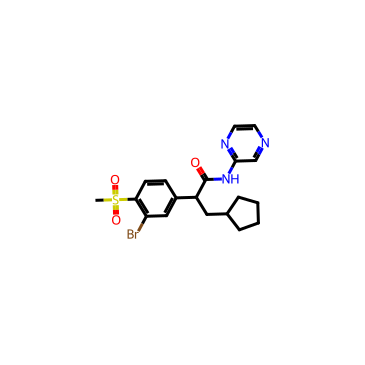 CS(=O)(=O)c1ccc(C(CC2CCCC2)C(=O)Nc2cnccn2)cc1Br